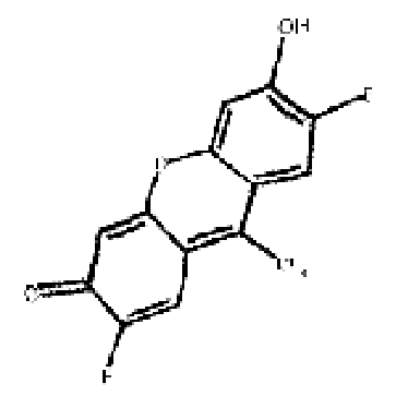 O=c1cc2oc3cc(O)c(F)cc3c(C(F)(F)F)c-2cc1F